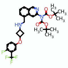 CC(C)(C)OC(=O)N(C(=O)OC(C)(C)C)c1cc2c(CNC3CC(Oc4ccc(F)c(C(F)(F)F)c4)C3)cccc2cn1